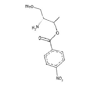 COC[C@@H](N)C(C)OC(=O)c1ccc([N+](=O)[O-])cc1